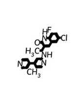 Cc1cnccc1-c1ccnc(NC(C)c2cc3cc(Cl)cc(F)c3[nH]c2=O)c1